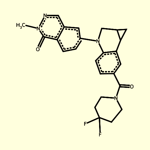 Cn1ncc2cc(N3CC4CC4c4cc(C(=O)N5CCC(F)(F)CC5)ccc43)ccc2c1=O